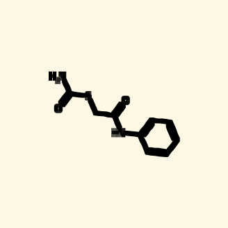 NC(=O)SCC(=O)Nc1ccccc1